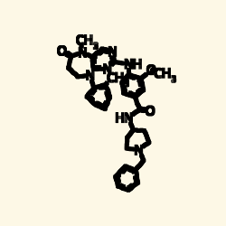 COc1cc(C(=O)NC2CCN(Cc3ccccc3)CC2)ccc1Nc1ncc2c(n1)N(c1ccccc1C)CCC(=O)N2C